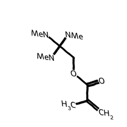 C=C(C)C(=O)OCC(NC)(NC)NC